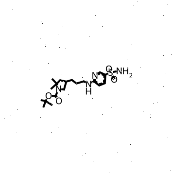 CC(C)(C)OC(=O)N1CC(CCCNc2ccc(S(N)(=O)=O)cn2)CC1(C)C